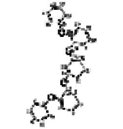 c1ccc(Oc2ccccc2Oc2cccc(Oc3ccccc3Oc3ccccc3)c2)cc1